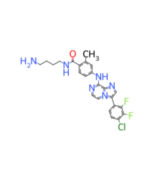 Cc1cc(Nc2nccn3c(-c4ccc(Cl)c(F)c4F)cnc23)ccc1C(=O)NCCCCN